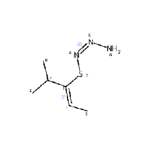 C/C=C(\S/N=N\N)C(C)C